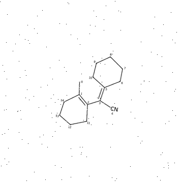 CC1=C(C(C#N)=C2CCCCC2)CCCC1